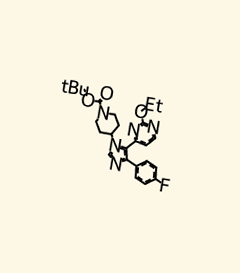 CCOc1nccc(-c2c(-c3ccc(F)cc3)ncn2C2CCN(C(=O)OC(C)(C)C)CC2)n1